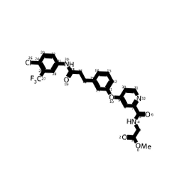 COC(=O)CNC(=O)c1cc(Oc2cccc(CCC(=O)Nc3ccc(Cl)c(C(F)(F)F)c3)c2)ccn1